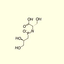 O=C(O)[C@H](CO)/N=[P+](\[O-])C[C@H](O)CO